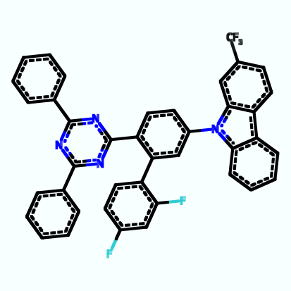 Fc1ccc(-c2cc(-n3c4ccccc4c4ccc(C(F)(F)F)cc43)ccc2-c2nc(-c3ccccc3)nc(-c3ccccc3)n2)c(F)c1